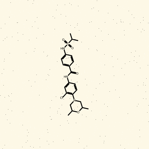 CC1CN(c2ccc(NC(=O)c3ccc(NS(=O)(=O)C(C)C)cc3)cc2Cl)CC(C)O1